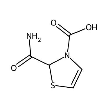 NC(=O)C1SC=CN1C(=O)O